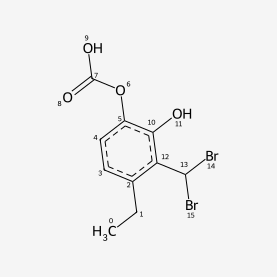 CCc1ccc(OC(=O)O)c(O)c1C(Br)Br